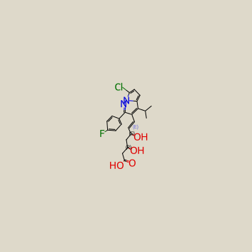 CC(C)c1c(/C=C/[C@@H](O)C[C@@H](O)CC(=O)O)c(-c2ccc(F)cc2)nn2c(Cl)ccc12